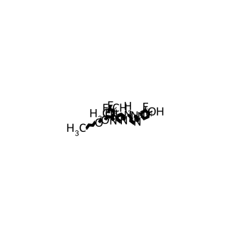 CCCCCOCO[C@H](C)c1nc2cnc(Nc3ccnc(N4CC[C@H](O)[C@H](F)C4)n3)cc2n1[C@@H](C)C(F)(F)F